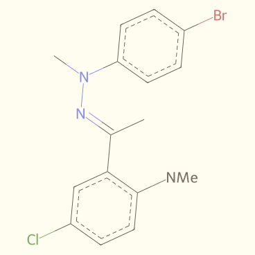 CNc1ccc(Cl)cc1/C(C)=N/N(C)c1ccc(Br)cc1